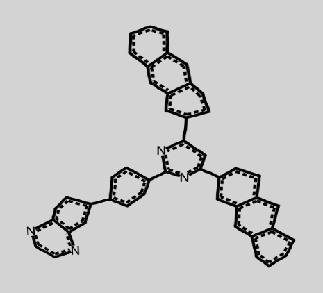 c1ccc2cc3cc(-c4cc(-c5ccc6cc7ccccc7cc6c5)nc(-c5ccc(-c6ccc7nccnc7c6)cc5)n4)ccc3cc2c1